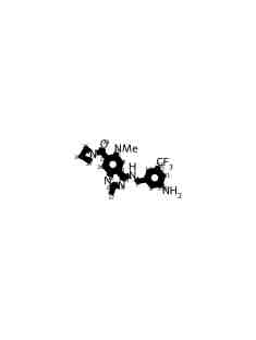 CNc1cc2c(NCc3cc(N)cc(C(F)(F)F)c3)nc(C)nc2cc1C(=O)N1CCC1